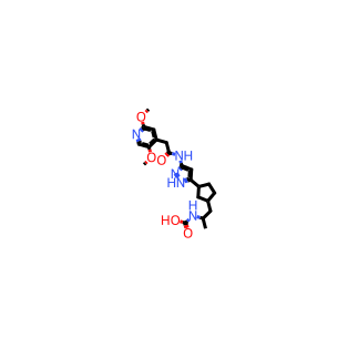 COc1cc(CC(=O)Nc2cc(C3CCC(CC(C)NC(=O)O)C3)[nH]n2)c(OC)cn1